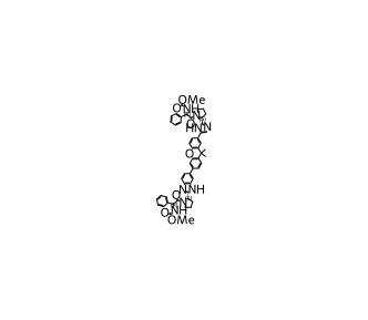 COC(=O)N[C@@H](C(=O)N1CCC[C@H]1c1ncc(-c2ccc3c(c2)C(C)(C)c2ccc(-c4ccc5nc([C@@H]6CCCN6C(=O)[C@H](NC(=O)OC)c6ccccc6)[nH]c5c4)cc2O3)[nH]1)c1ccccc1